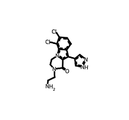 NCCN1CCn2c(c(-c3cn[nH]c3)c3ccc(Cl)c(Cl)c32)C1=O